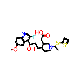 COc1ccc2ncc(F)c(C(O)CCC3CCN(C(C)Sc4cccs4)CC3CC(=O)O)c2c1